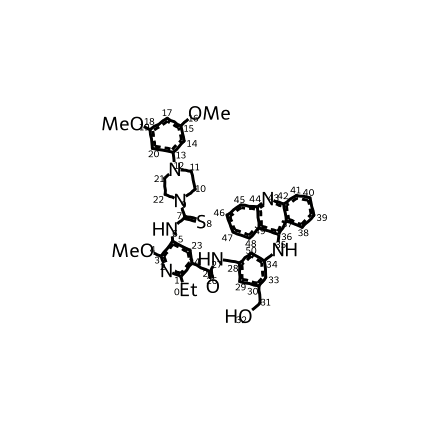 CCc1nc(OC)c(NC(=S)N2CCN(c3cc(OC)cc(OC)c3)CC2)cc1C(=O)Nc1cc(CO)cc(Nc2c3ccccc3nc3ccccc23)c1